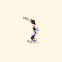 CN(C(=O)C(F)(F)F)c1cccc(CNC(=O)c2nc3scc(COCc4ccc(C(=O)O)cc4)c3c(=O)[nH]2)c1